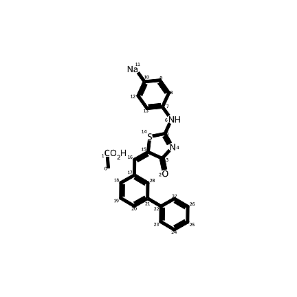 CC(=O)O.O=C1N=C(Nc2cc[c]([Na])cc2)S/C1=C/c1cccc(-c2ccccc2)c1